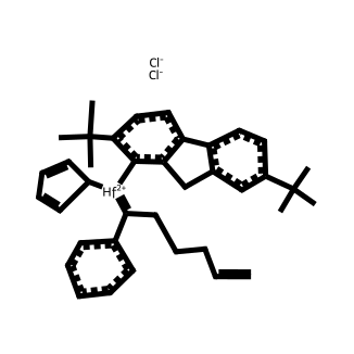 C=CCCC[C](c1ccccc1)=[Hf+2]([c]1c(C(C)(C)C)ccc2c1Cc1cc(C(C)(C)C)ccc1-2)[CH]1C=CC=C1.[Cl-].[Cl-]